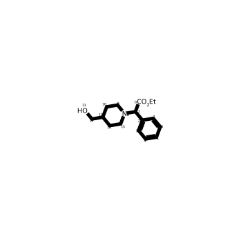 CCOC(=O)C(c1ccccc1)N1CCC(CO)CC1